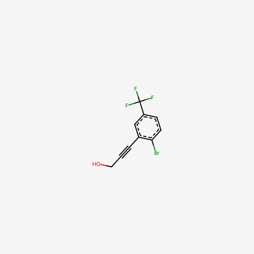 OCC#Cc1cc(C(F)(F)F)ccc1Br